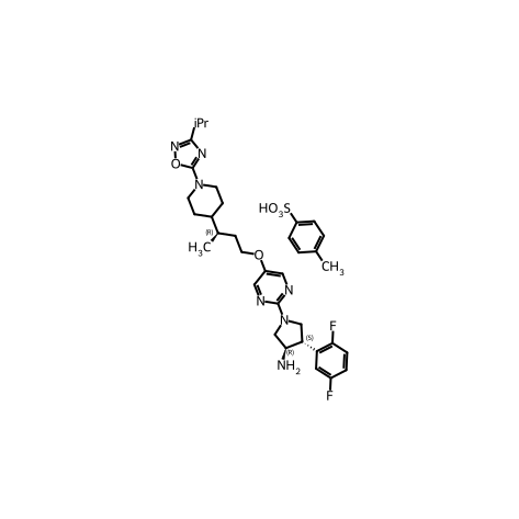 CC(C)c1noc(N2CCC([C@H](C)CCOc3cnc(N4C[C@H](c5cc(F)ccc5F)[C@@H](N)C4)nc3)CC2)n1.Cc1ccc(S(=O)(=O)O)cc1